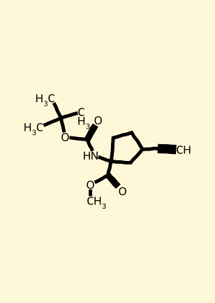 C#CC1CCC(NC(=O)OC(C)(C)C)(C(=O)OC)C1